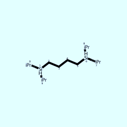 CC(C)[SiH](CCCC[SiH](C(C)C)C(C)C)C(C)C